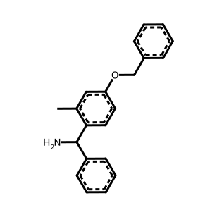 Cc1cc(OCc2ccccc2)ccc1C(N)c1ccccc1